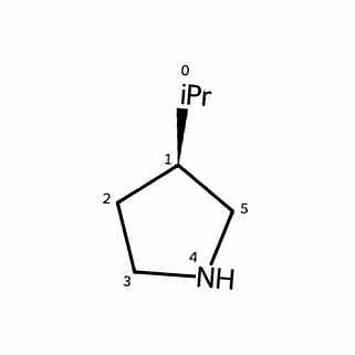 CC(C)[C@@H]1CCNC1